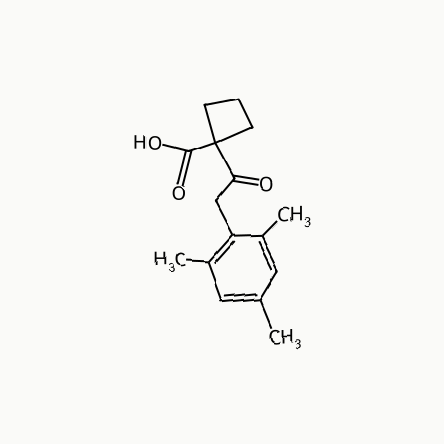 Cc1cc(C)c(CC(=O)C2(C(=O)O)CCC2)c(C)c1